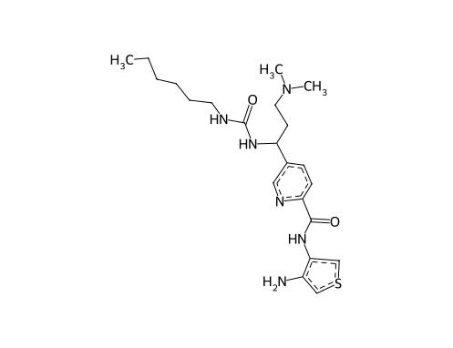 CCCCCCNC(=O)NC(CCN(C)C)c1ccc(C(=O)Nc2cscc2N)nc1